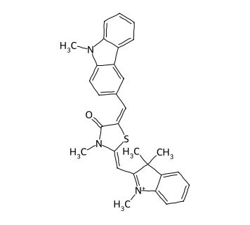 Cn1c(=O)/c(=C\c2ccc3c(c2)c2ccccc2n3C)s/c1=C\C1=[N+](C)c2ccccc2C1(C)C